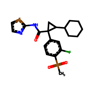 CS(=O)(=O)c1ccc(C2(C(=O)Nc3nccs3)CC2C2CCCCC2)cc1F